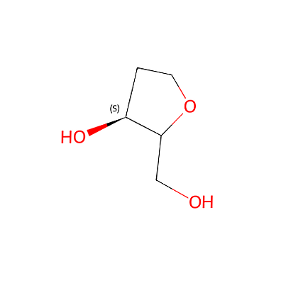 OCC1OCC[C@@H]1O